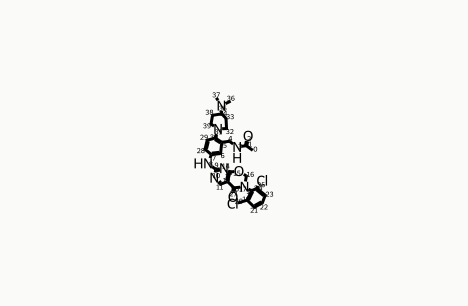 CC(=O)NCc1cc(Nc2ncc3c(n2)OCN(c2c(Cl)cccc2Cl)C3=O)ccc1N1CCC(N(C)C)CC1